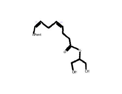 CCCCC/C=C\C/C=C\CCC(=O)OC(CO)CO